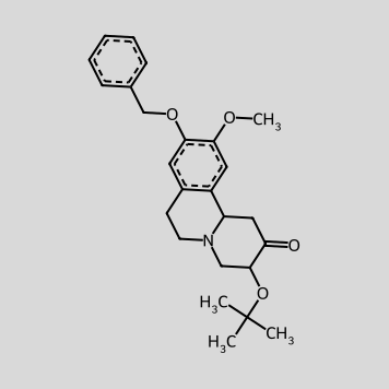 COc1cc2c(cc1OCc1ccccc1)CCN1CC(OC(C)(C)C)C(=O)CC21